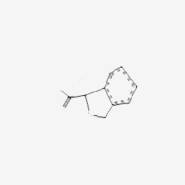 O=C(O)[C@]1(Br)NCc2ccccc21